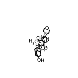 CC(C)(C)c1nc(N2CCOCC2)ncc1C(=O)N[C@H]1C2CC3CC1C[C@@](O)(C3)C2